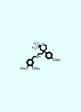 COc1ccc(C2(CCNCc3ccc(OC)c(OC)c3)CCOC(C)(C)C2)cc1